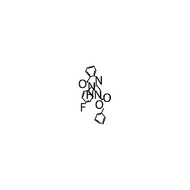 O=C(NCc1nc2ccccc2c(=O)n1-c1ccc(F)cc1)OCc1ccccc1